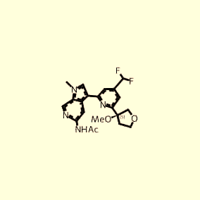 CO[C@]1(c2cc(C(F)F)cc(-c3cn(C)c4cnc(NC(C)=O)cc34)n2)CCOC1